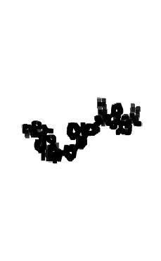 CNC(=O)O[C@H](C(=O)N1CCC[C@H]1c1nc(-c2ccc(-c3ccc(-c4ccc(-c5c[nH]c([C@@H]6CCCN6C(=O)[C@@H](NC(=O)OC)C(C)C)n5)cc4)n3-c3ccccc3C(C)(C)C)cc2)c[nH]1)C(C)C